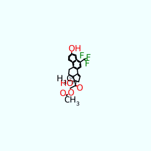 CC(=O)OCC(=O)[C@@]1(O)CC=C2c3cc(C(F)(F)F)c4cc(O)ccc4c3CC[C@@]21C